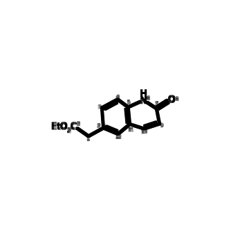 CCOC(=O)Cc1ccc2[nH]c(=O)ccc2c1